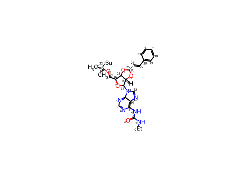 CCNC(=O)Nc1ncnc2c1ncn2C1OC(CO[Si](C)(C)C(C)(C)C)C2O[C@H](C=Cc3ccccc3)O[C@@H]21